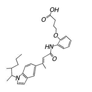 CCCC(C)C(C)n1ccc2cc(/C(C)=C/C(=O)Nc3ccccc3OCCCC(=O)O)ccc21